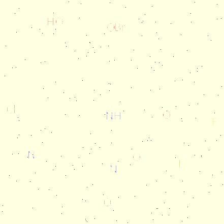 O=C(O)CC(Nc1cc(Cl)ncc1[N+](=O)[O-])c1c(Br)cccc1OC(F)F